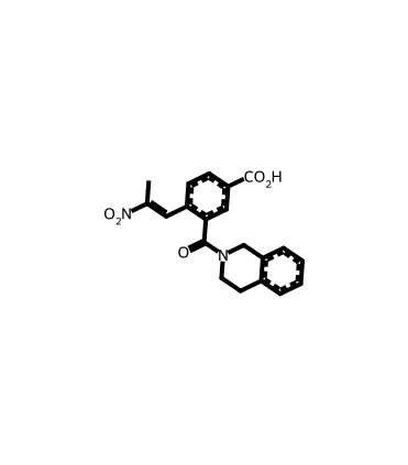 CC(=Cc1ccc(C(=O)O)cc1C(=O)N1CCc2ccccc2C1)[N+](=O)[O-]